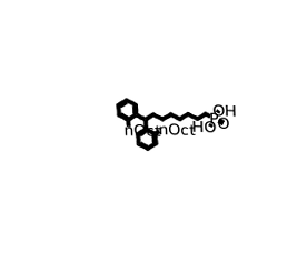 CCCCCCCCc1ccccc1C(CCCCCCCP(=O)(O)O)c1ccccc1CCCCCCCC